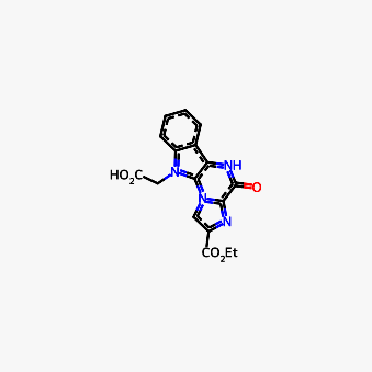 CCOC(=O)c1cn2c(n1)c(=O)[nH]c1c3ccccc3n(CC(=O)O)c12